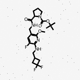 COc1nc(NCC2CC(F)(F)C2)c(F)cc1CNC(=O)C1CCCN1C(=O)OC(C)(C)C